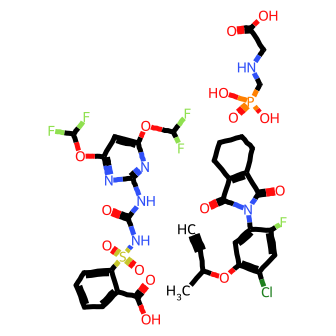 C#CC(C)Oc1cc(N2C(=O)C3=C(CCCC3)C2=O)c(F)cc1Cl.O=C(Nc1nc(OC(F)F)cc(OC(F)F)n1)NS(=O)(=O)c1ccccc1C(=O)O.O=C(O)CNCP(=O)(O)O